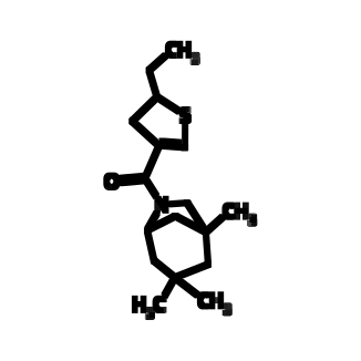 CCC1CC(C(=O)N2CC3(C)CC2CC(C)(C)C3)=CS1